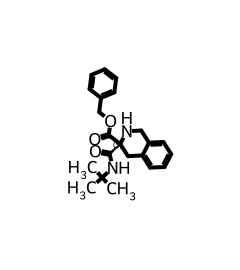 CC(C)(C)NC(=O)[C@]1(C(=O)OCc2ccccc2)Cc2ccccc2CN1